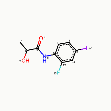 CC(O)C(=O)Nc1ccc(I)cc1F